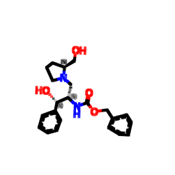 O=C(N[C@@H](CN1CCC[C@H]1CO)[C@@H](O)c1ccccc1)OCc1ccccc1